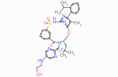 Cc1c2nc(nc1-c1ccccc1C(C)C)NS(=O)(=O)c1cccc(c1)C(=O)N(Cc1ncc(NCCO)cn1)[C@H](CC(C)(C)C)CO2